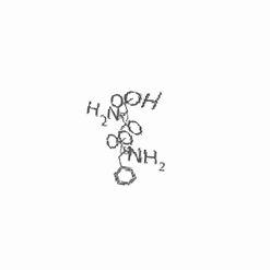 N[C@H](CC(=O)O)C(=O)COC(=O)[C@@H](N)Cc1ccccc1